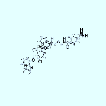 Cc1nc2c(OCc3c(Cl)ccc(S(=O)(=O)N4CCC[C@H]4C(=O)NCCCNC(=O)c4ccc(C5NN5)cc4)c3Cl)cccn2c1C